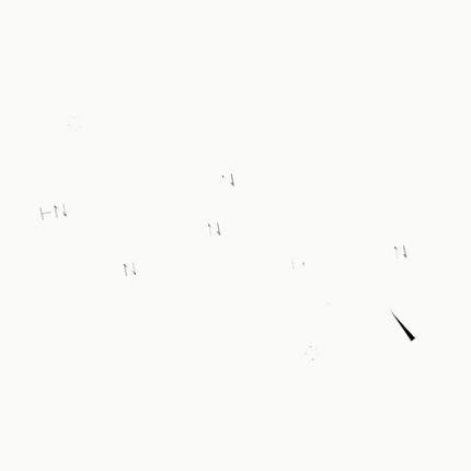 C[C@@H](C(=O)OCn1ncc2c(=O)[nH]cnc21)N(C)C